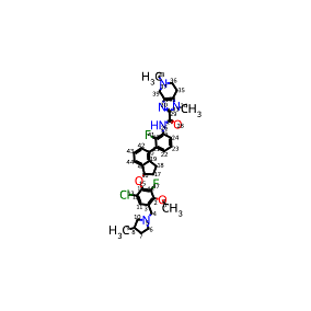 COc1c(CN2CCC(C)C2)cc(Cl)c(OC2CCc3c(-c4cccc(NC(=O)c5nc6c(n5C)CCN(C)C6)c4F)cccc32)c1F